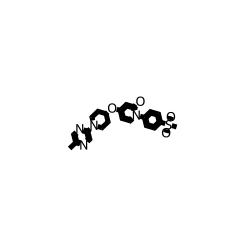 Cc1cnc(N2CCC(Oc3ccn(-c4ccc(S(C)(=O)=O)cc4)c(=O)c3)CC2)cn1